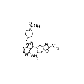 Nc1nc2cc(-c3nn(CC4CCN(C(=O)O)CC4)c4ncnc(N)c34)ccc2o1